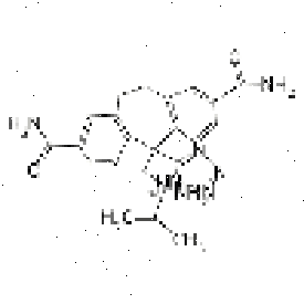 C=C(C)[C@@H](N)CC1(c2nnn[nH]2)c2ccc(C(N)=O)cc2CCc2cc(C(N)=O)ccc21